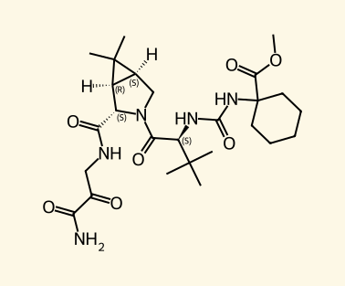 COC(=O)C1(NC(=O)N[C@H](C(=O)N2C[C@H]3[C@@H]([C@H]2C(=O)NCC(=O)C(N)=O)C3(C)C)C(C)(C)C)CCCCC1